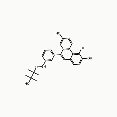 CC(C)(O)C(C)(C)OBc1cccc(-c2cc3ccc(O)c(O)c3c3ccc(O)cc23)c1